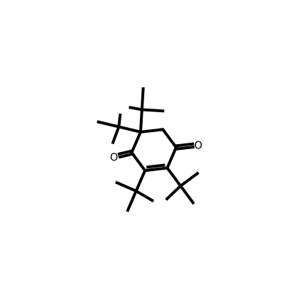 CC(C)(C)C1=C(C(C)(C)C)C(=O)C(C(C)(C)C)(C(C)(C)C)CC1=O